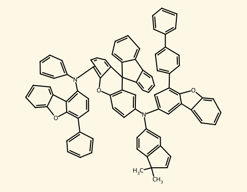 CC1(C)C=Cc2cc(N(c3ccc4c(c3)C3(c5ccccc5-c5ccccc53)c3cccc(N(c5ccccc5)c5ccc(-c6ccccc6)c6oc7ccccc7c56)c3O4)c3cc(-c4ccc(-c5ccccc5)cc4)c4oc5ccccc5c4c3)ccc21